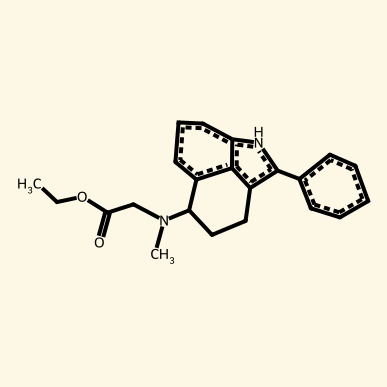 CCOC(=O)CN(C)C1CCc2c(-c3ccccc3)[nH]c3cccc1c23